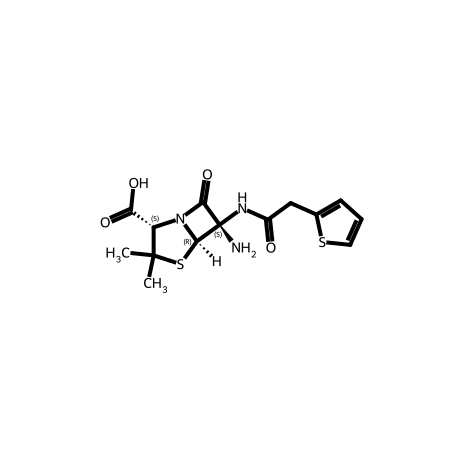 CC1(C)S[C@H]2N(C(=O)[C@]2(N)NC(=O)Cc2cccs2)[C@H]1C(=O)O